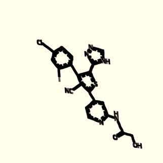 N#Cc1c(-c2ccnc(NC(=O)CO)c2)sc(-c2nnc[nH]2)c1-c1ccc(Cl)cc1I